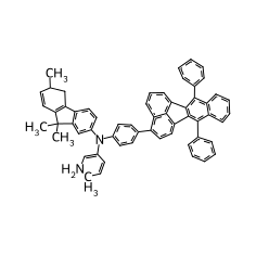 C/C=C\C(=C/N)N(c1ccc(-c2ccc3c4c(cccc24)-c2c-3c(-c3ccccc3)c3ccccc3c2-c2ccccc2)cc1)c1ccc2c(c1)C(C)(C)C1=C2CC(C)C=C1